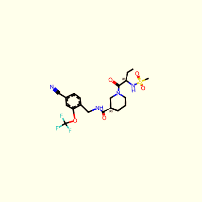 CC[C@@H](NS(C)(=O)=O)C(=O)N1CCC[C@@H](C(=O)NCc2ccc(C#N)cc2OC(F)(F)F)C1